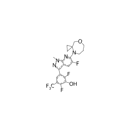 Cn1nc(-c2cc(C(F)(F)F)c(F)c(O)c2F)c2cc(F)c(N3CCCOCC34CC4)nc21